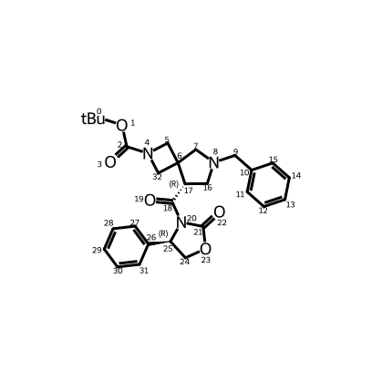 CC(C)(C)OC(=O)N1CC2(CN(Cc3ccccc3)C[C@@H]2C(=O)N2C(=O)OC[C@H]2c2ccccc2)C1